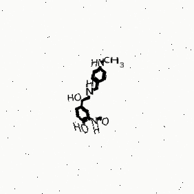 CNc1ccc(CNCC(O)c2ccc(O)c(NC=O)c2)cc1